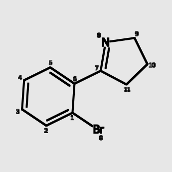 Brc1ccccc1C1=NCCC1